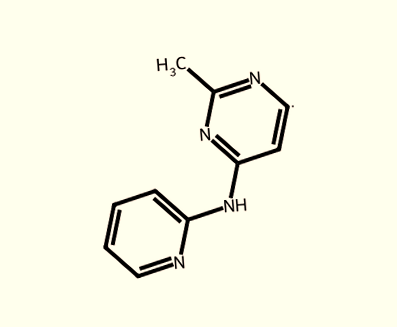 Cc1n[c]cc(Nc2ccccn2)n1